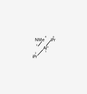 C[CH](C)[Al+][CH](C)C.C[N-]C